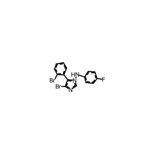 Fc1ccc(Nn2cnc(Br)c2-c2ccccc2Br)cc1